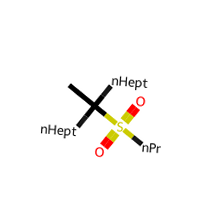 CCCCCCCC(C)(CCCCCCC)S(=O)(=O)CCC